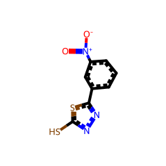 O=[N+]([O-])c1cccc(-c2nnc(S)s2)c1